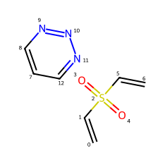 C=CS(=O)(=O)C=C.c1cnnnc1